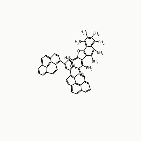 B=C(/C(B)=c1\c(=C(\B)C)oc2c1c(B)c(B)c1c(B)c(B)c(B)c(B)c12)c1ccc(-c2ccc3ccc4cccc5ccc2c3c45)cc1-c1ccc2ccc3cccc4ccc1c2c34